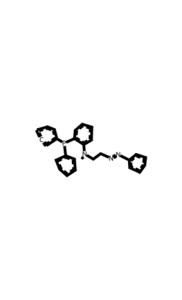 CN(CC/N=N/c1ccccc1)c1ccccc1P(c1ccccc1)c1ccccc1